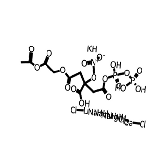 CC(=O)OC(=O)COC(=O)CC(CC(=O)OP(=O)(O)OP(=O)(O)O)(O[N+](=O)[O-])C(=O)O.[AlH3].[Cl][Ca][Cl].[KH].[Li][Cl].[MgH2].[NaH].[NaH].[NaH]